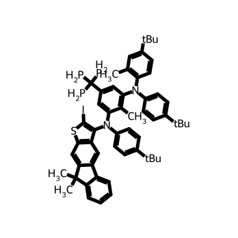 Cc1cc(C(C)(C)C)ccc1N(c1ccc(C(C)(C)C)cc1)c1cc(C(P)(P)P)cc(N(c2ccc(C(C)(C)C)cc2)c2c(I)sc3cc4c(cc23)-c2ccccc2C4(C)C)c1C